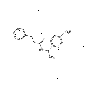 CC(NC(=O)OCc1ccccc1)c1ccc(C(=O)O)cc1